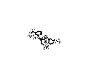 COC(=O)c1cccc(NC(=O)CN(C)S(=O)(=O)c2ccc(OC(F)(F)F)cc2Cl)c1N